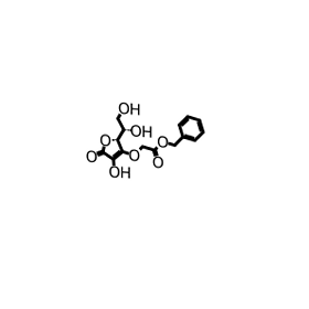 O=C(COC1=C(O)C(=O)O[C@@H]1[C@@H](O)CO)OCc1ccccc1